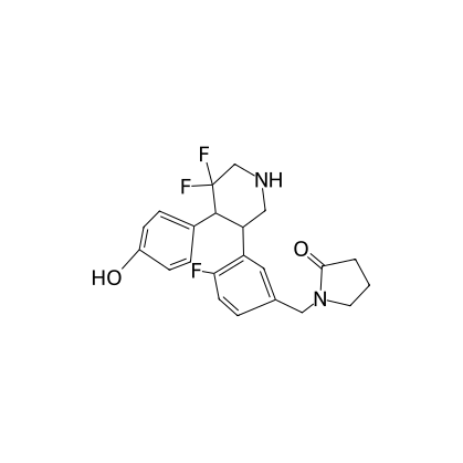 O=C1CCCN1Cc1ccc(F)c(C2CNCC(F)(F)C2c2ccc(O)cc2)c1